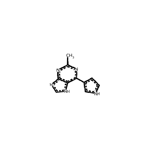 Cc1nc(-c2cc[nH]c2)c2[nH]cnc2n1